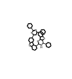 c1ccc(-c2cc(-c3ccc4sc5cccc(C6=Nc7c(sc8ccccc78)C(c7ccccc7)N6)c5c4c3)nc(-c3ccccc3)n2)cc1